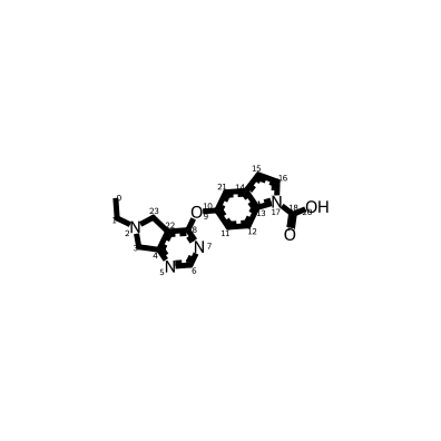 CCN1Cc2ncnc(Oc3ccc4c(ccn4C(=O)O)c3)c2C1